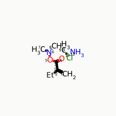 C=C(CC)C(=O)ON(C)C.CCl.N